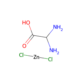 NC(N)C(=O)O.[Cl][Zn][Cl]